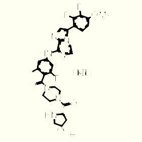 COc1ccc(-c2cnc3c(Nc4cc(C)c(C(=O)N5CCN(C(=O)[C@@H]6C[C@@H](O)CN6)CC5)c(F)c4)nccn23)c(F)c1F.Cl.Cl